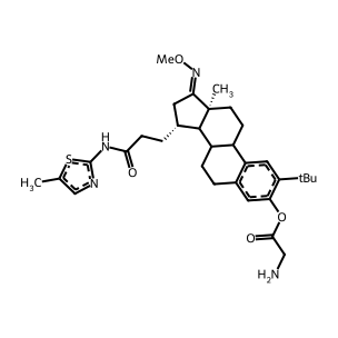 CON=C1C[C@@H](CCC(=O)Nc2ncc(C)s2)C2C3CCc4cc(OC(=O)CN)c(C(C)(C)C)cc4C3CC[C@]12C